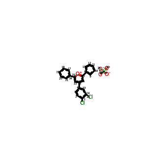 Clc1ccc(-c2cc(-c3ccccc3)[o+]c(-c3ccccc3)c2)cc1Cl.[O-][Cl+3]([O-])([O-])[O-]